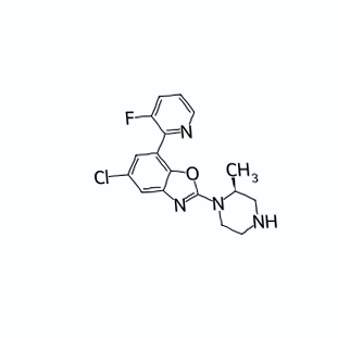 C[C@H]1CNCCN1c1nc2cc(Cl)cc(-c3ncccc3F)c2o1